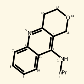 CCCNc1c2c(nc3ccccc13)CCOC2